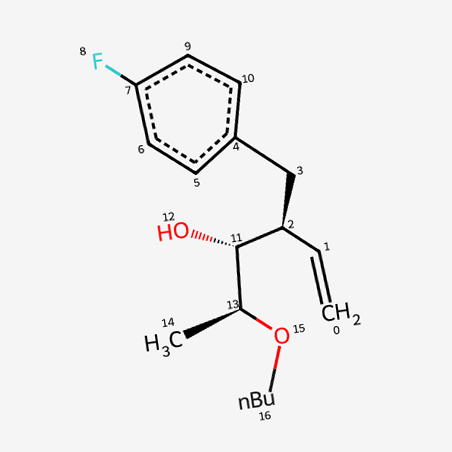 C=C[C@H](Cc1ccc(F)cc1)[C@@H](O)[C@H](C)OCCCC